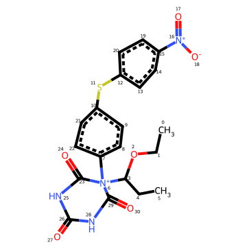 CCOC(CC)[N+]1(c2ccc(Sc3ccc([N+](=O)[O-])cc3)cc2)C(=O)NC(=O)NC1=O